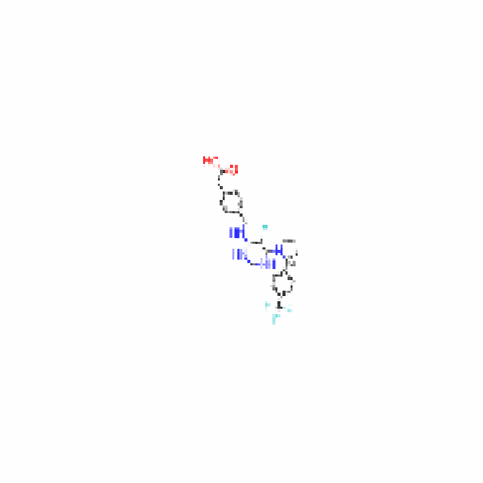 O=C(O)Cc1ccc(CNC2NCNC(N3CCC[C@H]3c3ccc(C(F)(F)F)cc3)C2F)cc1